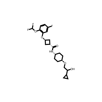 O=C(N[C@H]1CC[C@H](OCC(O)C2CC2)CC1)[C@H]1C[C@H](Oc2cc(F)ccc2OC(F)F)C1